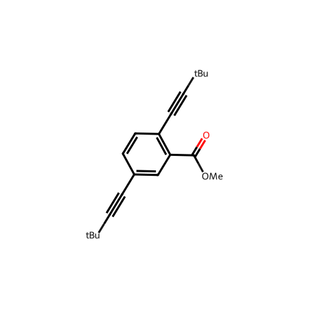 COC(=O)c1cc(C#CC(C)(C)C)ccc1C#CC(C)(C)C